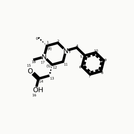 C[C@@H]1CN(Cc2ccccc2)C[C@H](CC(=O)O)N1C